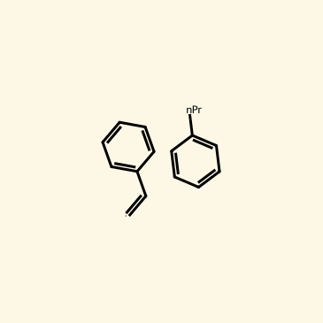 C[CH]Cc1ccccc1.[CH]=Cc1ccccc1